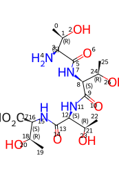 C[C@@H](O)[C@H](N)C(=O)N[C@H](C(=O)N[C@H](C(=O)N[C@H](C(=O)O)[C@@H](C)O)[C@@H](C)O)[C@@H](C)O